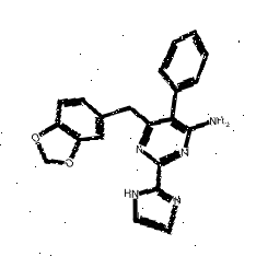 Nc1nc(-c2ncc[nH]2)nc(Cc2ccc3c(c2)OCO3)c1-c1ccccc1